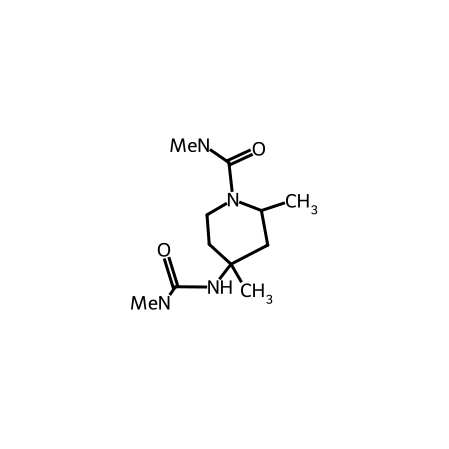 CNC(=O)NC1(C)CCN(C(=O)NC)C(C)C1